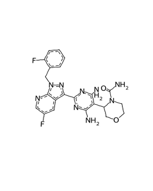 NC(=O)N1CCOCC1c1c(N)nc(-c2nn(Cc3ccccc3F)c3ncc(F)cc23)nc1N